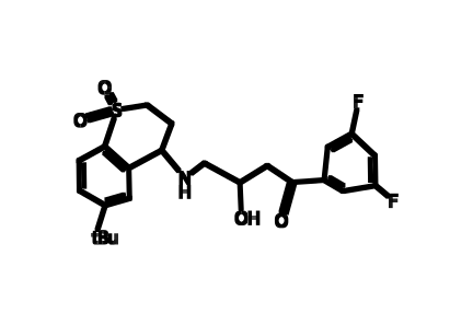 CC(C)(C)c1ccc2c(c1)C(NCC(O)CC(=O)c1cc(F)cc(F)c1)CCS2(=O)=O